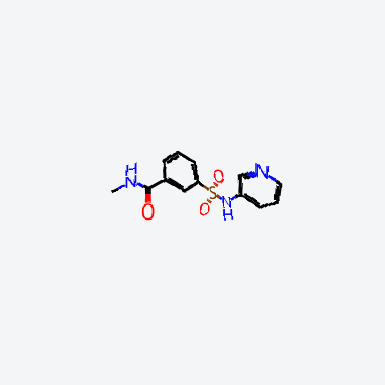 CNC(=O)c1cccc(S(=O)(=O)Nc2cccnc2)c1